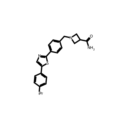 CC(C)c1ccc(-c2cnc(-c3ccc(CN4CC(C(N)=O)C4)cc3)s2)cc1